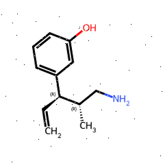 C=C[C@@H](c1cccc(O)c1)[C@@H](C)CN